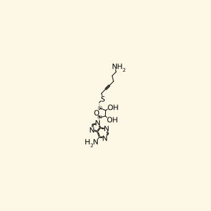 NCCCC#CCSC[C@H]1O[C@@H](n2cnc3c(N)ncnc32)C(O)C1O